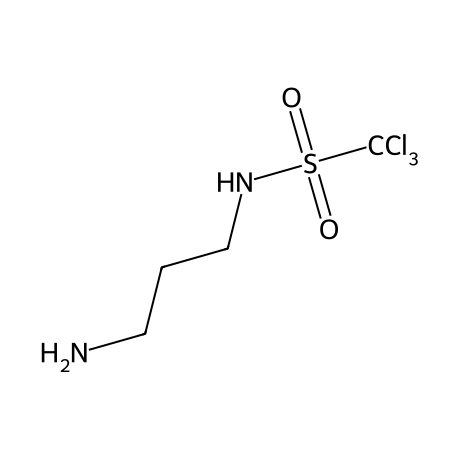 NCCCNS(=O)(=O)C(Cl)(Cl)Cl